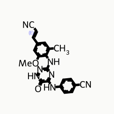 COc1cc(/C=C/C#N)cc(C)c1Nc1n[nH]c(=O)c(Nc2ccc(C#N)cc2)n1